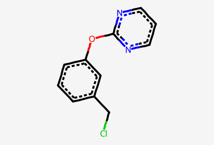 ClCc1cccc(Oc2ncccn2)c1